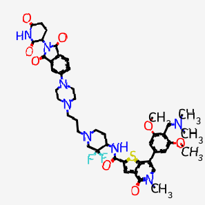 COc1cc(-c2cn(C)c(=O)c3cc(C(=O)NC4CCN(CCCN5CCN(c6ccc7c(c6)C(=O)N(C6CCC(=O)NC6=O)C7=O)CC5)CC4(F)F)sc23)cc(OC)c1CN(C)C